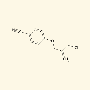 C=C(CCl)COc1ccc(C#N)cc1